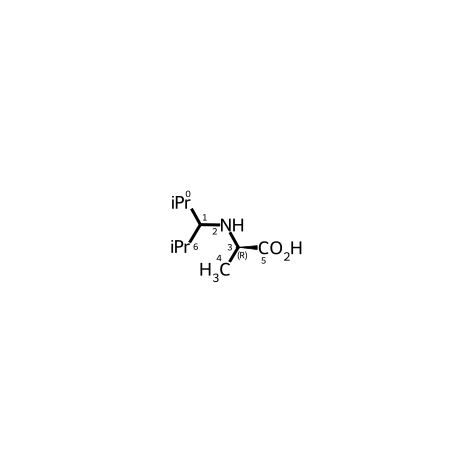 CC(C)C(N[C@H](C)C(=O)O)C(C)C